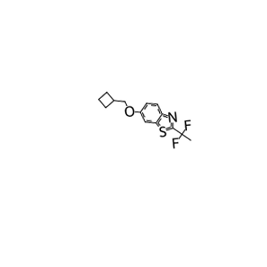 CC(F)(F)c1nc2ccc(OCC3CCC3)cc2s1